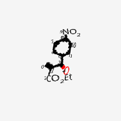 C=C(C(=O)OCC)C(=O)c1ccc([N+](=O)[O-])cc1